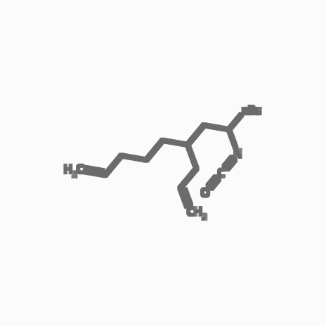 C=CCCCC(CC=C)CC(CCCC)N=C=O